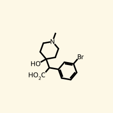 CN1CCC(O)(C(C(=O)O)c2cccc(Br)c2)CC1